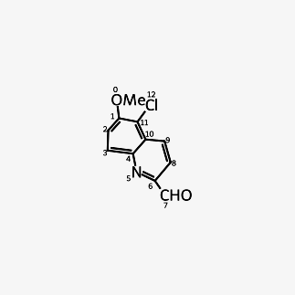 COc1ccc2nc(C=O)ccc2c1Cl